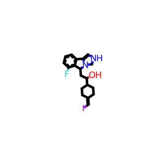 OC(CC1c2c(F)cccc2C2=CNCN21)C1CCC(=CI)CC1